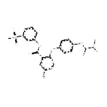 CS(=O)(=O)c1cccc(NC(=O)c2cc(C(F)(F)F)nnc2Oc2ccc(OC(F)C(F)F)cc2)c1